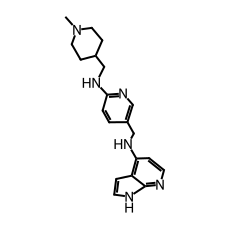 CN1CCC(CNc2ccc(CNc3ccnc4[nH]ccc34)cn2)CC1